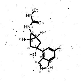 CCNC(=O)N[C@H]1[C@@H]2C[C@@](O)(c3cc(Cl)cc4[nH]ncc34)C[C@@H]21